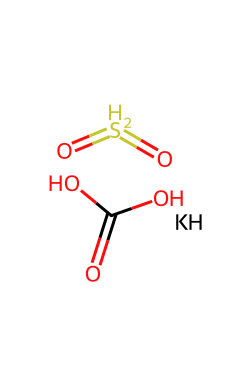 O=C(O)O.O=[SH2]=O.[KH]